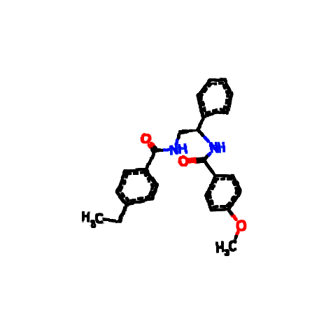 CCc1ccc(C(=O)NC[C@H](NC(=O)c2ccc(OC)cc2)c2ccccc2)cc1